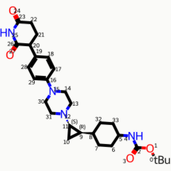 CC(C)(C)OC(=O)NC1CCC([C@H]2C[C@@H]2N2CCN(c3ccc(C4CCC(=O)NC4=O)cc3)CC2)CC1